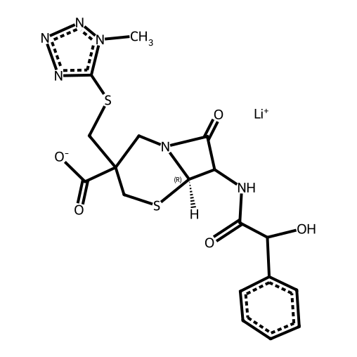 Cn1nnnc1SCC1(C(=O)[O-])CS[C@@H]2C(NC(=O)C(O)c3ccccc3)C(=O)N2C1.[Li+]